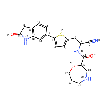 N#C[C@H](Cc1ccc(-c2ccc3c(c2)NC(=O)C3)s1)NC(=O)C1CNCCCO1